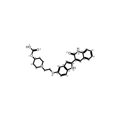 O=C(O)OC1CCN(CCOc2ccc3[nH]c(-c4cc5ccccc5[nH]c4=O)cc3c2)CC1